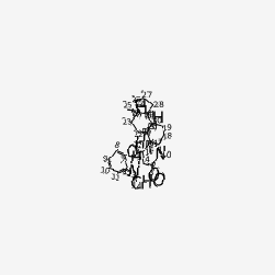 CN1C(=O)CC(Oc2ccccc2NC=O)[C@@]2(C)C1CC[C@@H]1[C@H]2CC[C@]2(C)CCC[C@@H]12